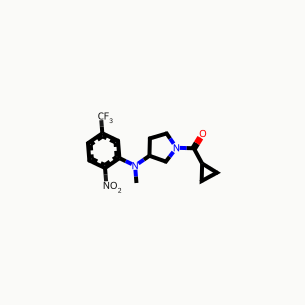 CN(c1cc(C(F)(F)F)ccc1[N+](=O)[O-])C1CCN(C(=O)C2CC2)C1